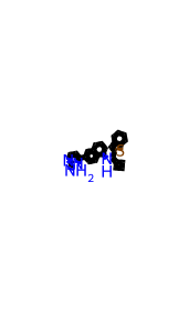 Nc1nccc(-c2ccc3c(c2)CCCC3NC(=C2CCC2)c2cc3c(s2)CCCC3)n1